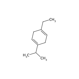 CCC1=CCC(C(C)C)=CC1